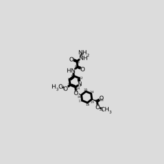 COc1cc(NC(=O)C(=O)NN)cnc1O[C@H]1CC[C@H](C(=O)OC)CC1